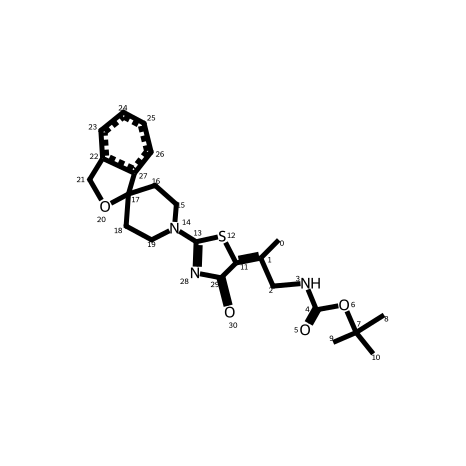 C/C(CNC(=O)OC(C)(C)C)=C1\SC(N2CCC3(CC2)OCc2ccccc23)=NC1=O